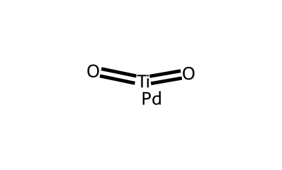 [O]=[Ti]=[O].[Pd]